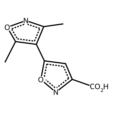 Cc1noc(C)c1-c1cc(C(=O)O)no1